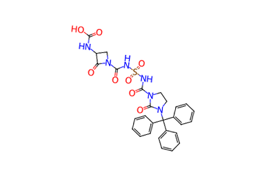 O=C(O)NC1CN(C(=O)NS(=O)(=O)NC(=O)N2CCN(C(c3ccccc3)(c3ccccc3)c3ccccc3)C2=O)C1=O